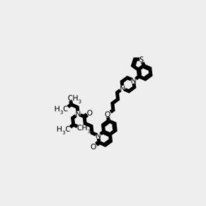 CC(C)CN(CC(C)C)C(=O)CCCn1c(=O)ccc2ccc(OCCCCN3CCN(c4cccc5sccc45)CC3)cc21